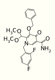 COC(OC)c1c(OCc2ccccc2)c(=O)c(C(N)=O)cn1Cc1ccc(F)cc1F